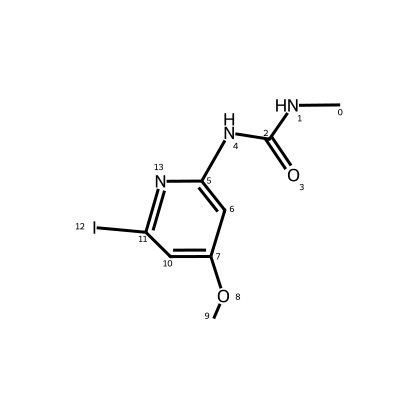 CNC(=O)Nc1cc(OC)cc(I)n1